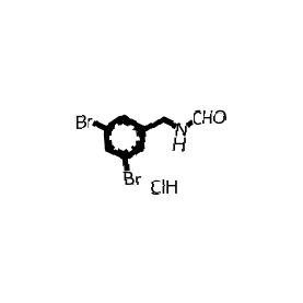 Cl.O=CNCc1cc(Br)cc(Br)c1